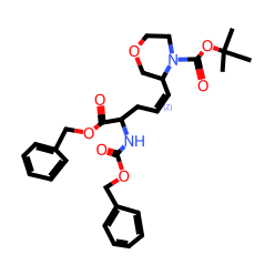 CC(C)(C)OC(=O)N1CCOCC1/C=C\CC(NC(=O)OCc1ccccc1)C(=O)OCc1ccccc1